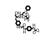 COC(=O)Nc1ccc(NC(=O)Nc2ccc(C[C@@H](CO)NC[C@@H](COc3ccccc3)OC(=O)C(F)(F)F)cc2)cc1